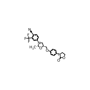 C[C@H]1O[C@H](COc2ccc(N3CCOC3=O)cc2)CN1c1ccc(C#N)c(C(F)(F)F)c1